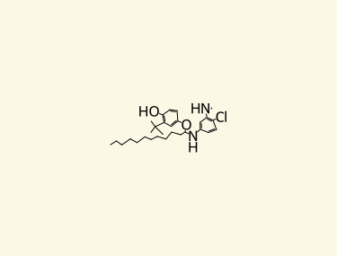 CCCCCCCCCCCC(Nc1ccc(Cl)c([NH])c1)Oc1ccc(O)c(C(C)(C)C)c1